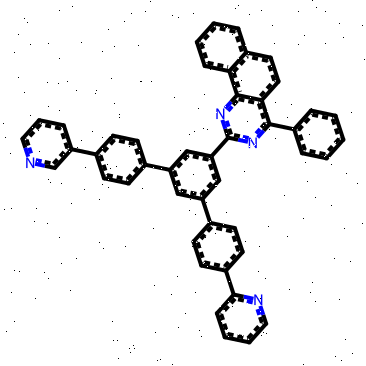 c1ccc(-c2nc(-c3cc(-c4ccc(-c5cccnc5)cc4)cc(-c4ccc(-c5ccccn5)cc4)c3)nc3c2ccc2ccccc23)cc1